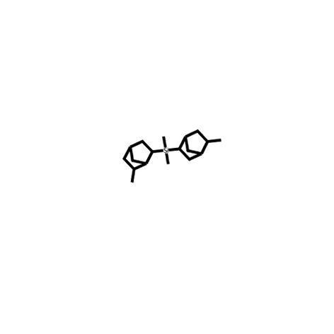 CC1CC2CC1CC2[Si](C)(C)C1CC2CC(C)C1C2